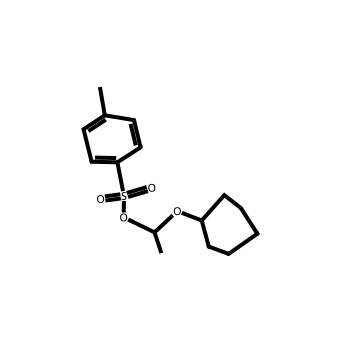 Cc1ccc(S(=O)(=O)OC(C)OC2CCCCC2)cc1